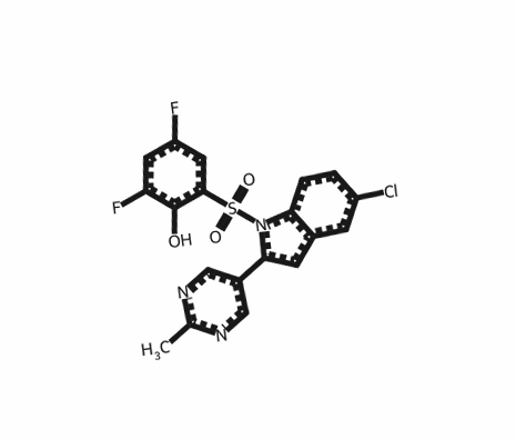 Cc1ncc(-c2cc3cc(Cl)ccc3n2S(=O)(=O)c2cc(F)cc(F)c2O)cn1